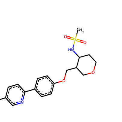 CS(=O)(=O)NC1CCOCC1COc1ccc(-c2ccc(C(F)(F)F)cn2)cc1